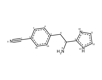 N#Cc1ccc(CC(N)c2ncc[nH]2)cc1